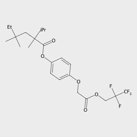 CCC(C)(C)CC(C)(C(=O)Oc1ccc(OCC(=O)OCC(F)(F)C(F)(F)F)cc1)C(C)C